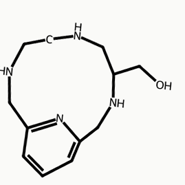 OCC1CNCCNCc2cccc(n2)CN1